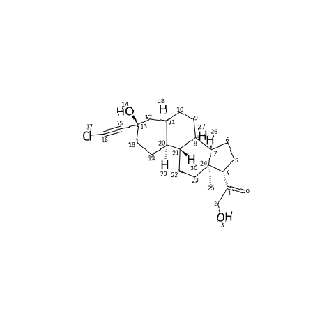 C=C(CO)[C@H]1CC[C@H]2[C@@H]3CC[C@@H]4C[C@@](O)(C#CCl)CC[C@@H]4[C@H]3CC[C@]12C